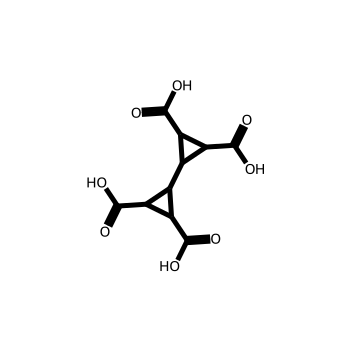 O=C(O)C1C(C(=O)O)C1C1C(C(=O)O)C1C(=O)O